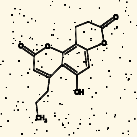 CCCc1cc(=O)oc2c3c(cc(O)c12)OC(=O)CC3